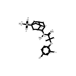 CC(C)(Oc1ccc(F)cc1F)C(=N)N(C#N)C1C2CC3CC1CC(S(N)(=O)=O)(C3)C2